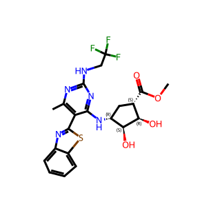 COC(=O)[C@H]1C[C@@H](Nc2nc(NCC(F)(F)F)nc(C)c2-c2nc3ccccc3s2)[C@H](O)[C@@H]1O